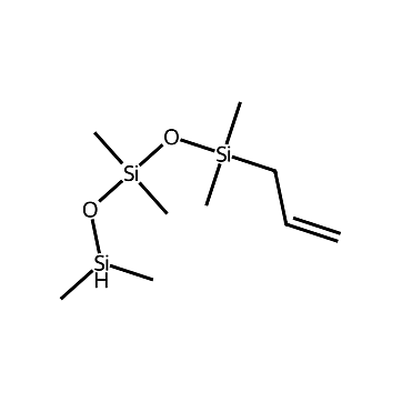 C=CC[Si](C)(C)O[Si](C)(C)O[SiH](C)C